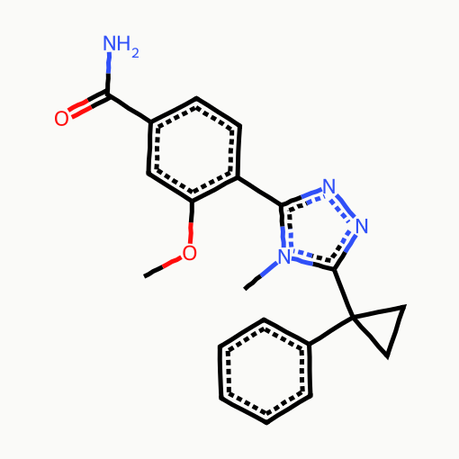 COc1cc(C(N)=O)ccc1-c1nnc(C2(c3ccccc3)CC2)n1C